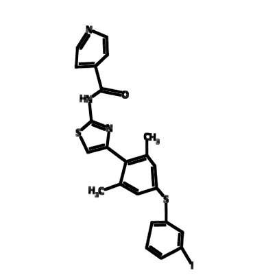 Cc1cc(Sc2cccc(I)c2)cc(C)c1-c1csc(NC(=O)c2ccncc2)n1